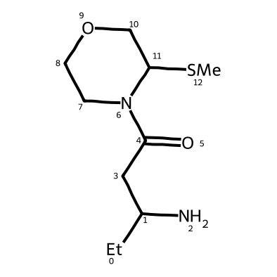 CCC(N)CC(=O)N1CCOCC1SC